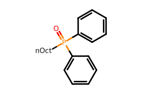 CCCCCCCCP(=O)(c1ccccc1)c1ccccc1